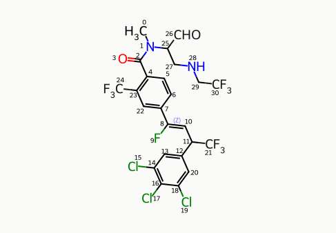 CN(C(=O)c1ccc(/C(F)=C/C(c2cc(Cl)c(Cl)c(Cl)c2)C(F)(F)F)cc1C(F)(F)F)C(C=O)CNCC(F)(F)F